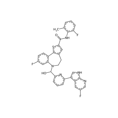 Cc1cccc(F)c1NC(=O)c1cc2c(s1)-c1ccc(F)cc1N(C(O)c1cccc(-c3c[nH]c4ncc(F)cc34)n1)CC2